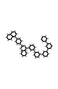 c1ccc(-c2cccc(-c3cccc(-c4cccc(-c5cccc(-c6nc(-c7ccc(-c8cccc9ccccc89)cc7)nc7ccccc67)c5)c4)c3)c2)cc1